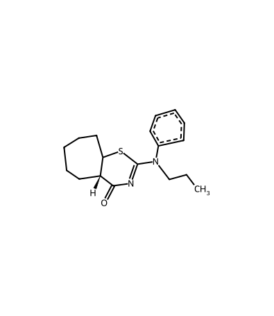 CCCN(C1=NC(=O)[C@@H]2CCCCCC2S1)c1ccccc1